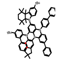 CC1(C)Cc2cc3c(cc2C1)N(c1ccc(C(C)(C)C)cc1-c1ccccc1)c1cc(N2c4ccc(C(C)(C)C)cc4C4(C)C(C)(C)CCC(C)(C)C24C)cc2c1B3c1cc(-c3ccccc3)ccc1N2c1ccc(-c2ccccc2)cc1